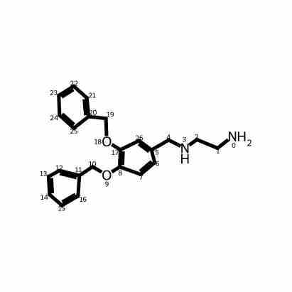 NCCNCc1ccc(OCc2ccccc2)c(OCc2ccccc2)c1